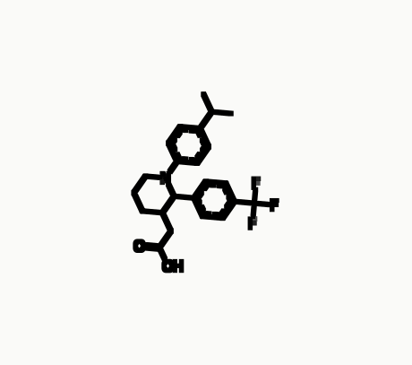 CC(C)c1ccc(N2CCCC(CC(=O)O)C2c2ccc(C(F)(F)F)cc2)cc1